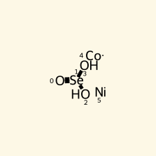 O=[Se](O)O.[Co].[Ni]